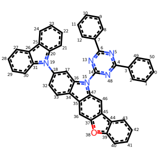 c1ccc(-c2nc(-c3ccccc3)nc(-n3c4cc(-n5c6ccccc6c6ccccc65)ccc4c4cc5oc6ccccc6c5cc43)n2)cc1